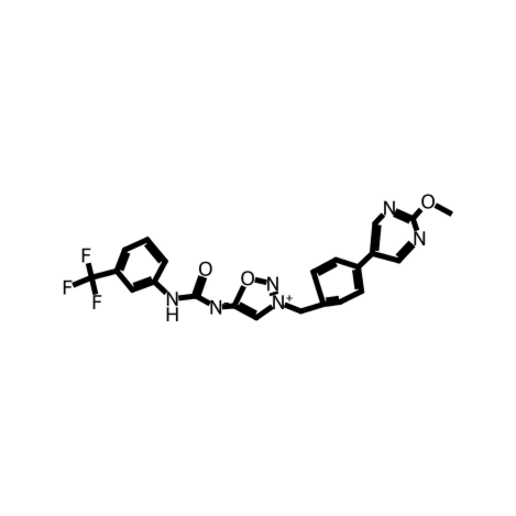 COc1ncc(-c2ccc(C[n+]3cc([N-]C(=O)Nc4cccc(C(F)(F)F)c4)on3)cc2)cn1